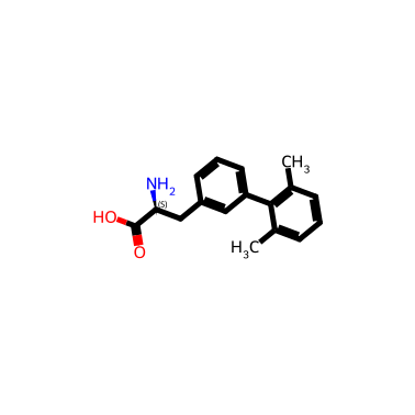 Cc1cccc(C)c1-c1cccc(C[C@H](N)C(=O)O)c1